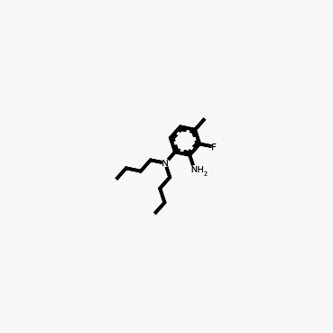 CCCCN(CCCC)c1ccc(C)c(F)c1N